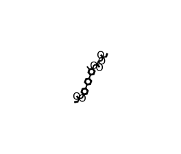 C=CC(=O)OCC(=O)Oc1ccc(-c2ccc(-c3ccc(OC(=O)C=C)cc3)cc2)cc1C